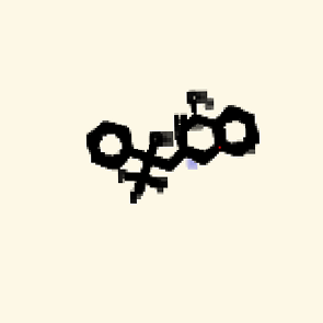 C[C@@H](N/C(=C\C(=O)O)CC(O)(c1ccccc1)C(F)(F)F)c1ccccc1